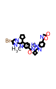 Cn1c(C2(NC(=O)c3ccc4c(C5CCCC5)c(-c5ncc(Br)cn5)n(C)c4c3)CCC2)nc2ccc(C3=NCC(=O)O3)cc21